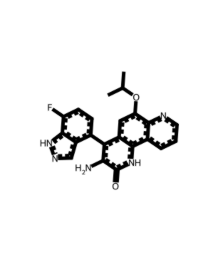 CC(C)Oc1cc2c(-c3ccc(F)c4[nH]ncc34)c(N)c(=O)[nH]c2c2cccnc12